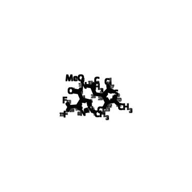 CON(C(=O)c1cn(C)nc1C(F)F)C(C)Cc1c(Cl)sc(C)c1Cl